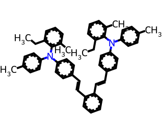 CCc1cccc(C)c1N(c1ccc(C)cc1)c1ccc(C=Cc2ccccc2C=Cc2ccc(N(c3ccc(C)cc3)c3c(C)cccc3CC)cc2)cc1